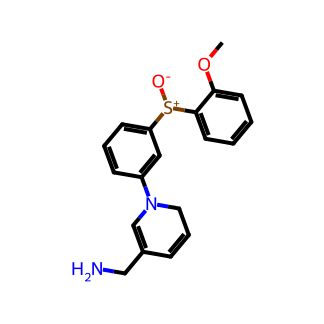 COc1ccccc1[S+]([O-])c1cccc(N2C=C(CN)C=CC2)c1